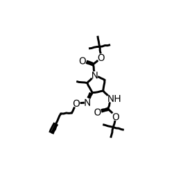 C#CCCON=C1C(NC(=O)OC(C)(C)C)CN(C(=O)OC(C)(C)C)C1C